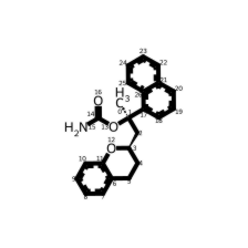 C[C@](C[C@H]1CCc2ccccc2O1)(OC(N)=O)c1cccc2ccccc12